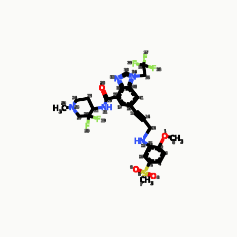 COc1ccc(S(C)(=O)=O)cc1NCC#Cc1cc(C(=O)NC2CCN(C)CC2(F)F)c2ncn(CC(F)(F)F)c2c1